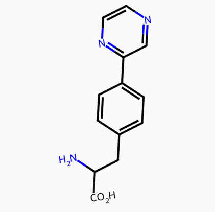 NC(Cc1ccc(-c2cnccn2)cc1)C(=O)O